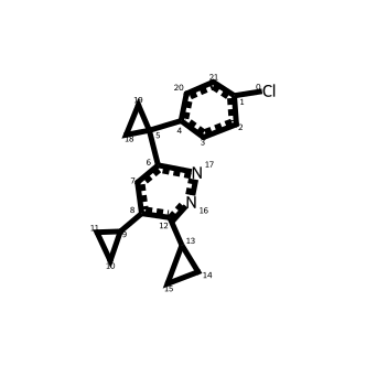 Clc1ccc(C2(c3cc(C4CC4)c(C4CC4)nn3)CC2)cc1